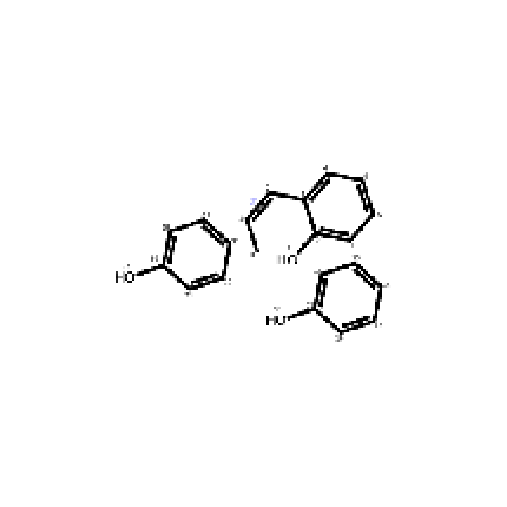 C/C=C\c1ccccc1O.Oc1ccccc1.Oc1ccccc1